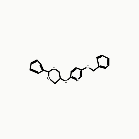 c1ccc(COc2ccc(OC3COC(c4ccccc4)OC3)nc2)cc1